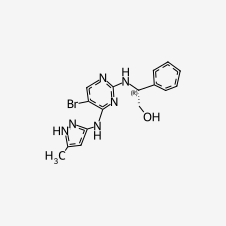 Cc1cc(Nc2nc(N[C@@H](CO)c3ccccc3)ncc2Br)n[nH]1